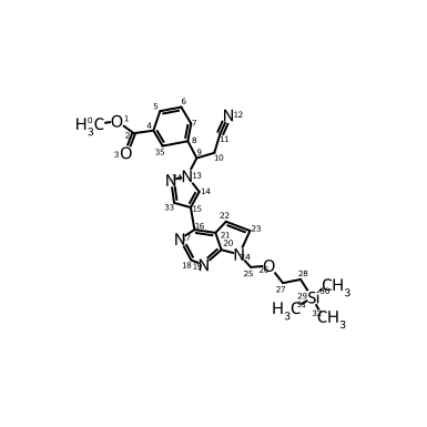 COC(=O)c1cccc(C(CC#N)n2cc(-c3ncnc4c3ccn4COCC[Si](C)(C)C)cn2)c1